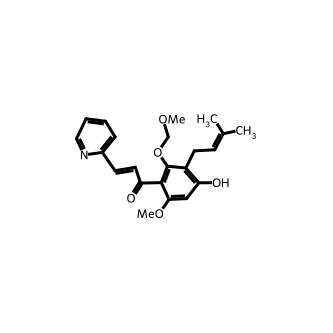 COCOc1c(CC=C(C)C)c(O)cc(OC)c1C(=O)C=Cc1ccccn1